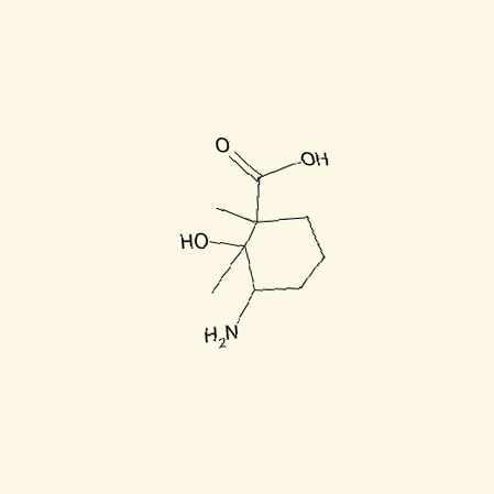 CC1(C(=O)O)CCCC(N)C1(C)O